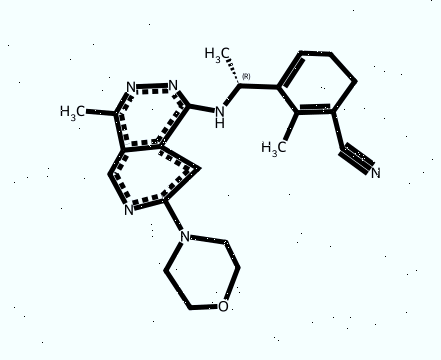 CC1=C(C#N)CCC=C1[C@@H](C)Nc1nnc(C)c2cnc(N3CCOCC3)cc12